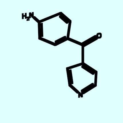 Nc1ccc(C(=O)c2ccncc2)cc1